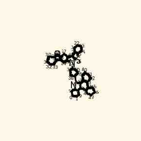 c1ccc2c(c1)nc(-c1ccc(-n3c4cc5c(cc4c4c6ccccc6sc43)oc3ccccc35)cc1)c1c3ccccc3c3ccccc3c21